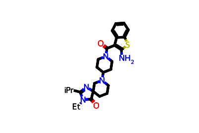 CCN1C(=O)C2(CCCN(C3CCN(C(=O)c4c(N)sc5ccccc45)CC3)C2)N=C1C(C)C